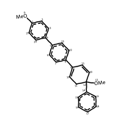 COc1ccc(-c2ccc(C3=CCC(OC)(c4ccccc4)C=C3)cc2)cc1